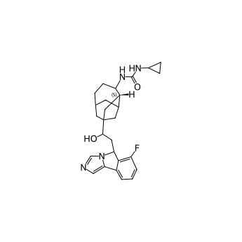 O=C(NC1CC1)NC1CCC2CC3CC(C(O)CC4c5c(F)cccc5-c5cncn54)(C2)C[C@@H]31